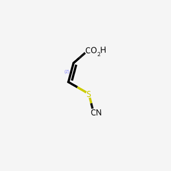 N#CS/C=C\C(=O)O